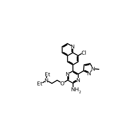 CCN(CC)CCOc1nc(-c2cc(Cl)c3ncccc3c2)c(-c2ccn(C)n2)nc1N